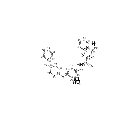 Cl.Cl.O=C(NCc1ccc(CN2CCC(Cc3ccccc3)CC2)cc1)C1=Cc2cnc3cccc(n23)S1